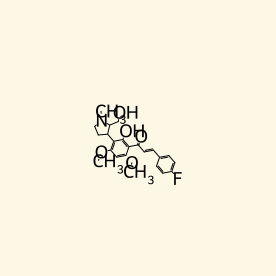 COc1cc(OC)c(C2CCN(C)C2CO)c(O)c1C(=O)C=Cc1ccc(F)cc1